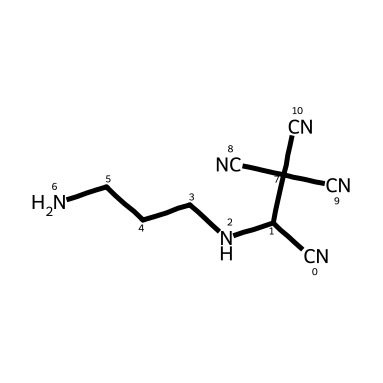 N#CC(NCCCN)C(C#N)(C#N)C#N